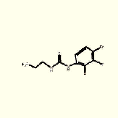 CCCNC(=S)Nc1ccc(Br)c(F)c1F